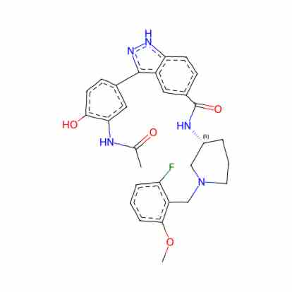 COc1cccc(F)c1CN1CCC[C@@H](NC(=O)c2ccc3[nH]nc(-c4ccc(O)c(NC(C)=O)c4)c3c2)C1